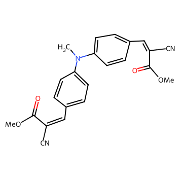 COC(=O)C(C#N)=Cc1ccc(N(C)c2ccc(C=C(C#N)C(=O)OC)cc2)cc1